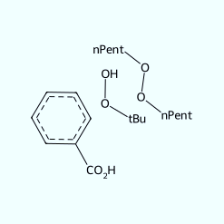 CC(C)(C)OO.CCCCCOOCCCCC.O=C(O)c1ccccc1